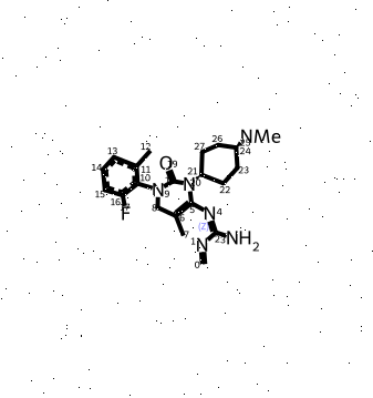 C=N/C(N)=N\C1=C(C)CN(c2c(C)cccc2F)C(=O)N1[C@H]1CC[C@H](NC)CC1